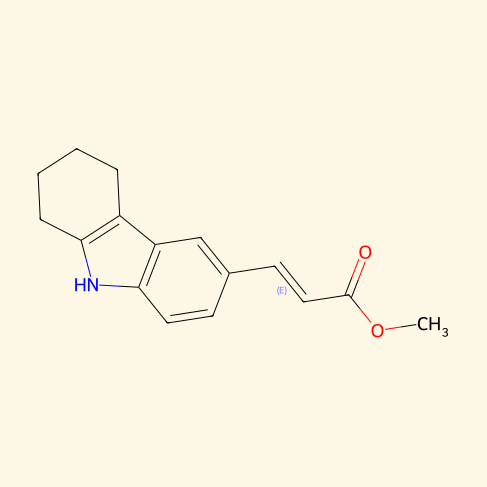 COC(=O)/C=C/c1ccc2[nH]c3c(c2c1)CCCC3